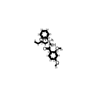 CCC(O)C[N+](C)(NC(=O)c1ccc(OC)cc1OC)c1ccccc1